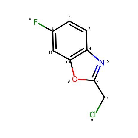 Fc1ccc2nc(CCl)oc2c1